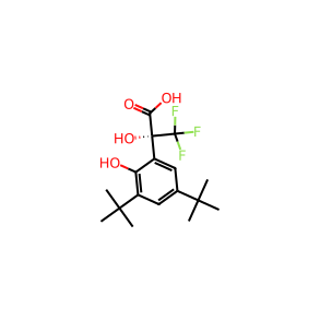 CC(C)(C)c1cc(C(C)(C)C)c(O)c([C@@](O)(C(=O)O)C(F)(F)F)c1